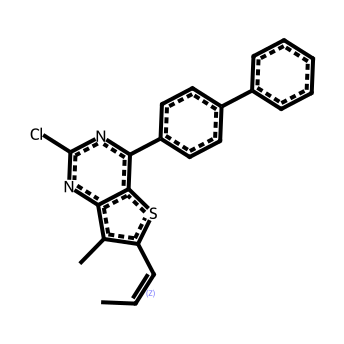 C/C=C\c1sc2c(-c3ccc(-c4ccccc4)cc3)nc(Cl)nc2c1C